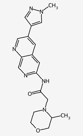 CC1COCCN1CC(=O)Nc1cc2cc(-c3cnn(C)c3)cnc2cn1